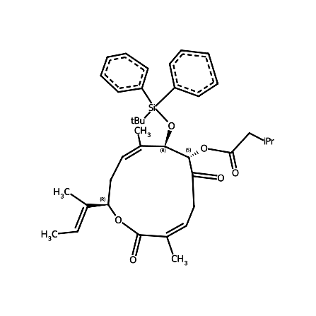 CC=C(C)[C@H]1CC=C(C)[C@@H](O[Si](c2ccccc2)(c2ccccc2)C(C)(C)C)[C@H](OC(=O)CC(C)C)C(=O)CC=C(C)C(=O)O1